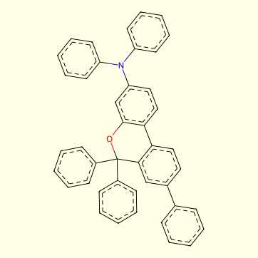 c1ccc(-c2ccc3c(c2)C(c2ccccc2)(c2ccccc2)Oc2cc(N(c4ccccc4)c4ccccc4)ccc2-3)cc1